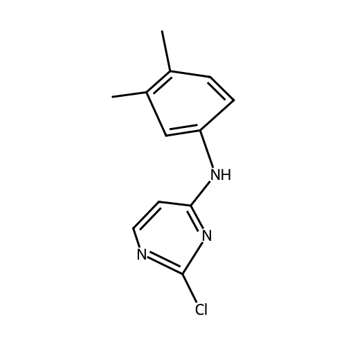 Cc1ccc(Nc2ccnc(Cl)n2)cc1C